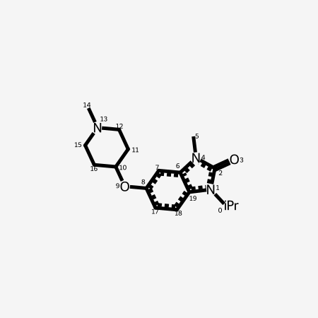 CC(C)n1c(=O)n(C)c2cc(OC3CCN(C)CC3)ccc21